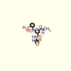 CNC(=O)c1cc(C(=O)N[C@H]2[C@@H]3COC[C@@H]32)cc(C(O)c2ccccc2C)n1